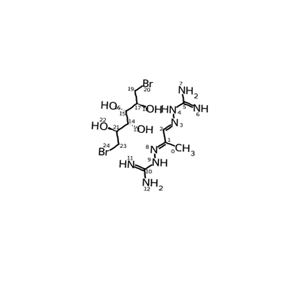 CC(/C=N/NC(=N)N)=N\NC(=N)N.O[C@@H]([C@H](O)[C@H](O)CBr)[C@H](O)CBr